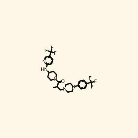 CC(CN1CCN(c2ccc(C(F)(F)F)cc2)CC1)C(=O)N1CCC(Nc2ccc(C(F)(F)F)cn2)CC1